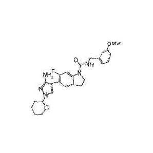 COc1cccc(CNC(=O)N2CCc3cc(-c4cn(C5CCCCO5)nc4N)c(F)cc32)c1